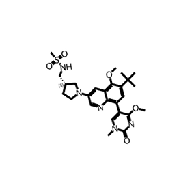 COc1nc(=O)n(C)cc1-c1cc(C(C)(C)C)c(OC)c2cc(N3CC[C@H](CNS(C)(=O)=O)C3)cnc12